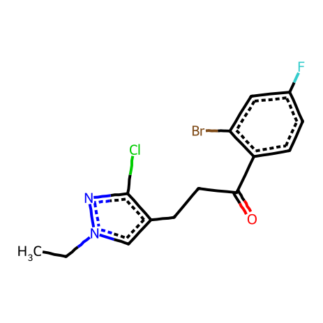 CCn1cc(CCC(=O)c2ccc(F)cc2Br)c(Cl)n1